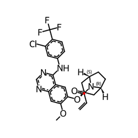 C=CC(=O)N1[C@@H]2CC[C@H]1C[C@H](Oc1cc3c(Nc4ccc(C(F)(F)F)c(Cl)c4)ncnc3cc1OC)C2